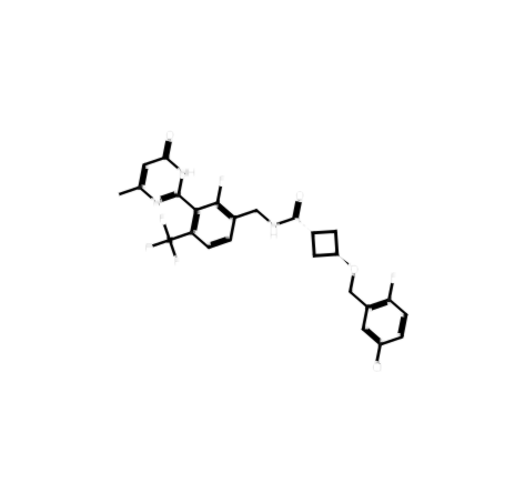 Cc1cc(=O)[nH]c(-c2c(C(F)(F)F)ccc(CNC(=O)[C@H]3C[C@H](OCc4cc(Cl)ccc4F)C3)c2F)n1